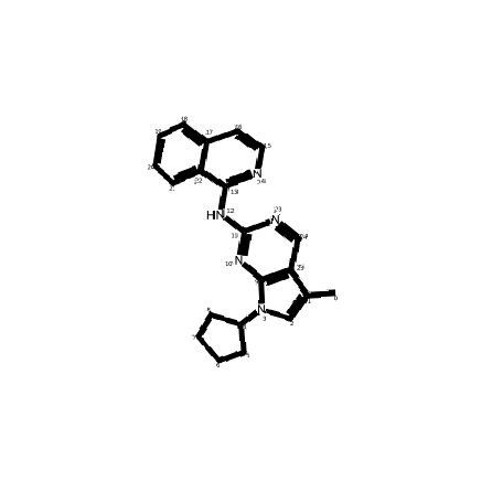 Cc1cn(C2CCCC2)c2nc(Nc3nccc4ccccc34)ncc12